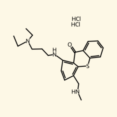 CCN(CC)CCCNc1ccc(CNC)c2sc3ccccc3c(=O)c12.Cl.Cl